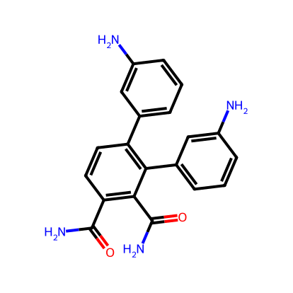 NC(=O)c1ccc(-c2cccc(N)c2)c(-c2cccc(N)c2)c1C(N)=O